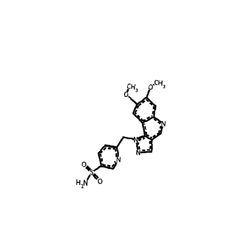 COc1cc2ncc3cnn(Cc4ccc(S(N)(=O)=O)cn4)c3c2cc1OC